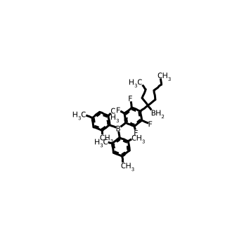 BC(CCC)(CCCC)c1c(F)c(F)c(B(c2c(C)cc(C)cc2C)c2c(C)cc(C)cc2C)c(F)c1F